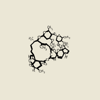 CO[C@H]1C[C@H](O[C@@H]2[C@H](C)OC(OC3/C(C)=C/C[C@H]4C[C@H](CC5(C=C[C@@H]6CC[C@H](C)[C@@H]6O5)O4)OC(=O)[C@@H]4C=C(C)[C@@H]5OC56OC/C(=C\C=C\[C@@H]3C)[C@]46O)C[C@@H]2OC)O[C@@H](C)[C@H]1O